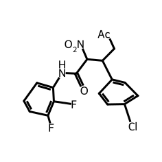 CC(=O)CC(c1ccc(Cl)cc1)C(C(=O)Nc1cccc(F)c1F)[N+](=O)[O-]